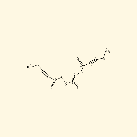 CCC#CC(=O)CO[PH](=O)OCC(=O)C#CCC